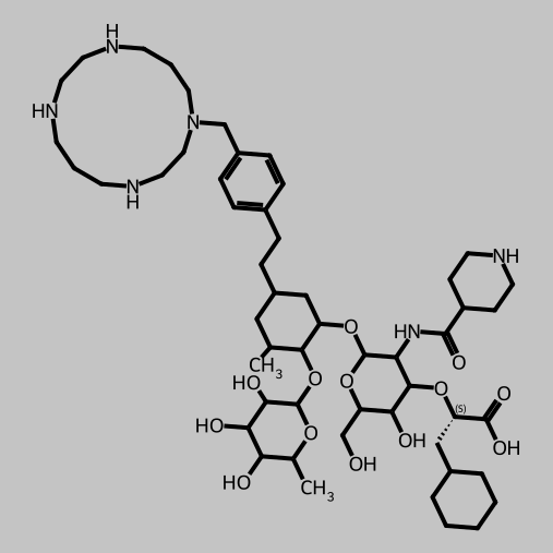 CC1CC(CCc2ccc(CN3CCCNCCNCCCNCC3)cc2)CC(OC2OC(CO)C(O)C(O[C@@H](CC3CCCCC3)C(=O)O)C2NC(=O)C2CCNCC2)C1OC1OC(C)C(O)C(O)C1O